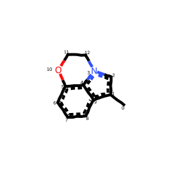 Cc1cn2c3c(cccc13)OCC2